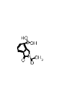 CC(=O)N1Cc2c(B(O)O)cccc2C1=O